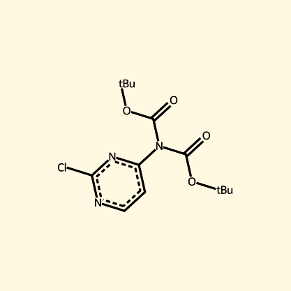 CC(C)(C)OC(=O)N(C(=O)OC(C)(C)C)c1ccnc(Cl)n1